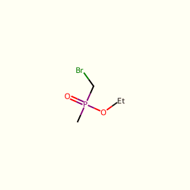 CCOP(C)(=O)CBr